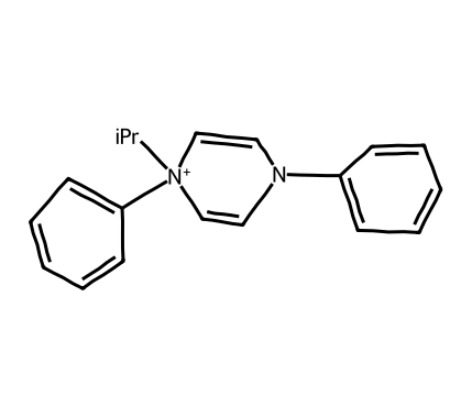 CC(C)[N+]1(c2ccccc2)C=CN(c2ccccc2)C=C1